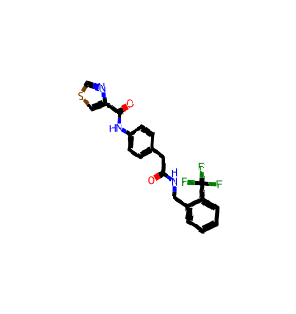 O=C(Cc1ccc(NC(=O)c2cscn2)cc1)NCc1ccccc1C(F)(F)F